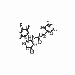 Cc1cc(F)c(F)cc1[C@H]1CCC(=O)C[C@@H]1NC(=O)OCc1ccccc1